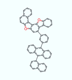 c1cc(-c2c3ccccc3c(-c3cccc4ccccc34)c3ccccc23)cc(-c2cc3oc4ccc5ccccc5c4c3c3oc4ccccc4c23)c1